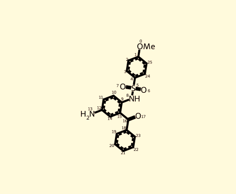 COc1ccc(S(=O)(=O)Nc2ccc(N)cc2C(=O)c2ccccc2)cc1